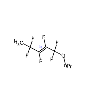 CCCOC(F)(F)/C(F)=C(\F)C(C)(F)F